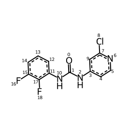 O=C(Nc1ccnc(Cl)c1)Nc1cccc(F)c1F